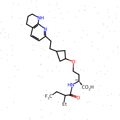 CCC(CC(F)(F)F)C(=O)N[C@@H](CCOC1CC(CCc2ccc3c(n2)NCCC3)C1)C(=O)O